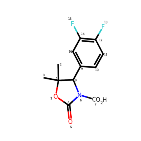 CC1(C)OC(=O)N(C(=O)O)C1c1ccc(F)c(F)c1